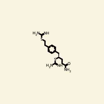 N=C(N)SCCc1ccc(C[C@@H](CCC(N)=O)SC(=N)N)cc1